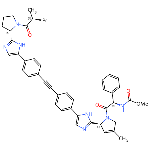 COC(=O)N[C@@H](C(=O)N1CC(C)=C[C@H]1c1ncc(-c2ccc(C#Cc3ccc(-c4cnc([C@@H]5CCCN5C(=O)[C@@H](C)C(C)C)[nH]4)cc3)cc2)[nH]1)c1ccccc1